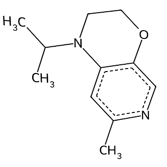 Cc1cc2c(cn1)OCCN2C(C)C